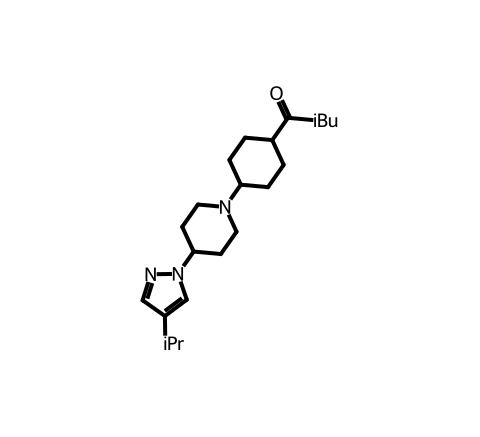 CCC(C)C(=O)C1CCC(N2CCC(n3cc(C(C)C)cn3)CC2)CC1